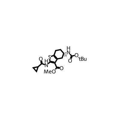 COC(=O)c1c(NC(=O)C2CC2)sc2c1C[C@@H](NC(=O)OC(C)(C)C)CC2